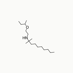 CCCCCCCCC(C)(C)NCCOC(C)CC